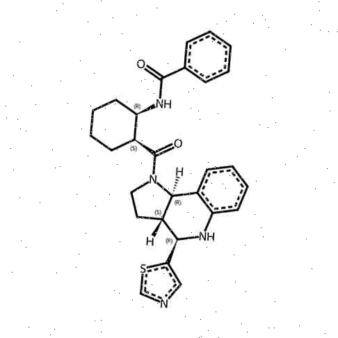 O=C(N[C@@H]1CCCC[C@@H]1C(=O)N1CC[C@H]2[C@H](c3cncs3)Nc3ccccc3[C@@H]21)c1ccccc1